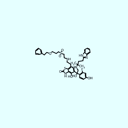 CC(C)(CCc1nc2ccccc2[nH]1)NCC(O)(c1ccc(O)cc1F)c1cc(CCNCCS(=O)(=O)CCCOCCc2ccccc2)c2sc(=O)[nH]c2c1O